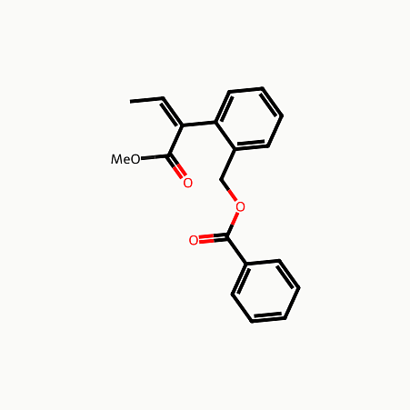 CC=C(C(=O)OC)c1ccccc1COC(=O)c1ccccc1